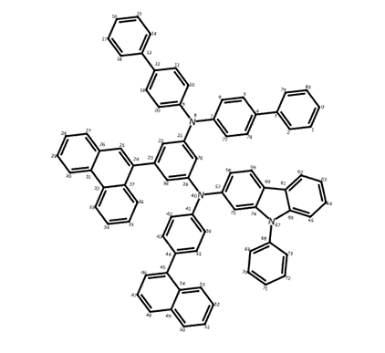 c1ccc(-c2ccc(N(c3ccc(-c4ccccc4)cc3)c3cc(-c4cc5ccccc5c5ccccc45)cc(N(c4ccc(-c5cccc6ccccc56)cc4)c4ccc5c6ccccc6n(-c6ccccc6)c5c4)c3)cc2)cc1